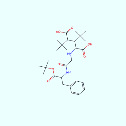 CC(C)(C)OC(=O)C(Cc1ccccc1)NC(=O)CNC(C(=O)O)C(C(C(=O)O)C(C)(C)C)C(C)(C)C